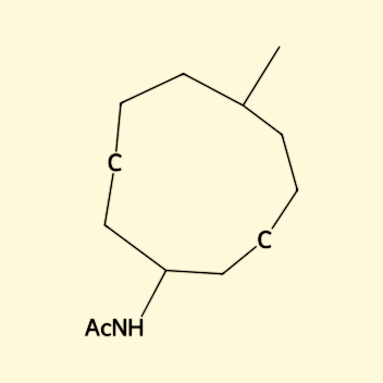 CC(=O)NC1CCCCC(C)CCCC1